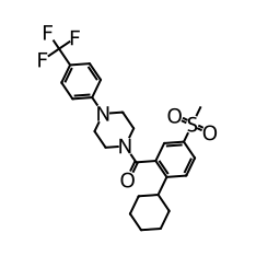 CS(=O)(=O)c1ccc(C2CCCCC2)c(C(=O)N2CCN(c3ccc(C(F)(F)F)cc3)CC2)c1